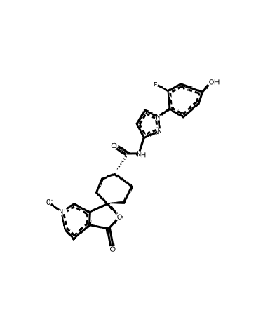 O=C1O[C@]2(CC[C@@H](C(=O)Nc3ccn(-c4ccc(O)cc4F)n3)CC2)c2c[n+]([O-])ccc21